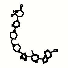 Cc1cc(-c2ccc3cc(C#N)cnn23)ncc1-c1nnc(N2CCN(CC3CCN(c4ccc([C@@H]5CCC(=O)NC5=O)cn4)CC3)CC2)s1